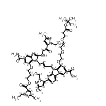 CCn1nc(C)cc1C(=O)CNc1nc2cc(C(N)=O)cc(OCCCOC(=O)c3cc(C)nn3CC)c2n1C/C=C/Cn1c2nc(-c3cc(C)nn3CC)ncc2c2cc(C(N)=O)cc(OCCOCCOCCC(=O)OC(C)(C)C)c21